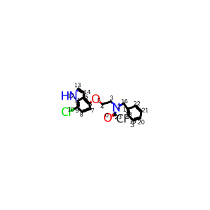 O=C(N(CCOc1ccc(Cl)c2[nH]ccc12)Cc1ccccc1)C(F)(F)F